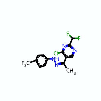 CC(=NNc1ccc(C(F)(F)F)cc1)c1cnc(C(F)F)nc1Cl